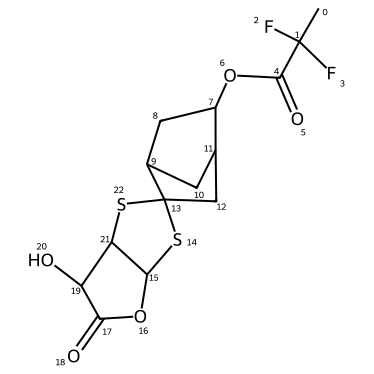 CC(F)(F)C(=O)OC1CC2CC1CC21SC2OC(=O)C(O)C2S1